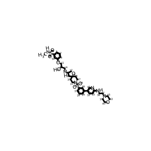 CNS(=O)(=O)c1cccc(OCC(O)CNC2COC3(CCN(S(=O)(=O)c4cccc(-c5ccc(NCCN6CCOCC6)nc5)c4)CC3)C2)c1